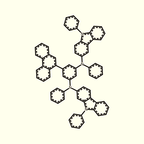 c1ccc(N(c2cc(-c3cc4ccccc4c4ccccc34)cc(N(c3ccccc3)c3ccc4c5ccccc5n(-c5ccccc5)c4c3)c2)c2ccc3c(c2)c2ccccc2n3-c2ccccc2)cc1